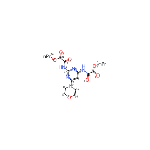 CCCOC(=O)C(=O)Nc1cc(N2CCOCC2)nc(NC(=O)C(=O)OCCC)n1